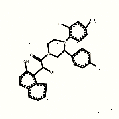 Cc1ccc(N2CCN(C(=O)C(O)c3c(O)ccc4ccccc34)CC2c2ccc(Cl)cc2)c(Cl)c1